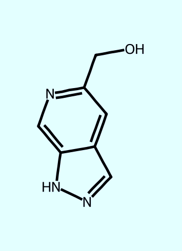 OCc1cc2cn[nH]c2cn1